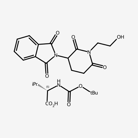 CC(C)[C@H](NC(=O)OC(C)(C)C)C(=O)O.O=C1CCC(N2C(=O)c3ccccc3C2=O)C(=O)N1CCO